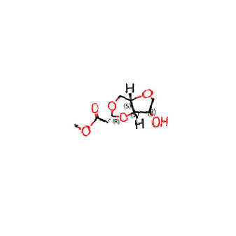 COC(=O)C[C@@H]1OC[C@@H]2OC[C@@H](O)[C@@H]2O1